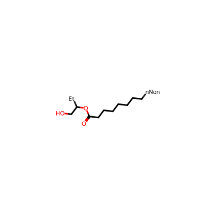 CCCCCCCCCCCCCCCCC(=O)OC(CC)CO